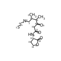 CC(CN=C=S)C(C)C(=O)CC(=O)N[C@H]1CCOC1=O